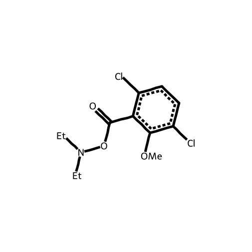 CCN(CC)OC(=O)c1c(Cl)ccc(Cl)c1OC